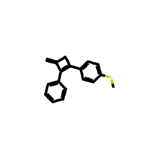 C=C1CC(c2ccc(SC)cc2)=C1c1ccccc1